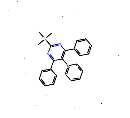 C[Si](C)(C)c1nc(-c2ccccc2)c(-c2ccccc2)c(-c2ccccc2)n1